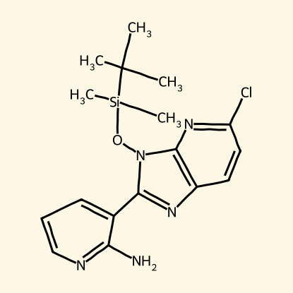 CC(C)(C)[Si](C)(C)On1c(-c2cccnc2N)nc2ccc(Cl)nc21